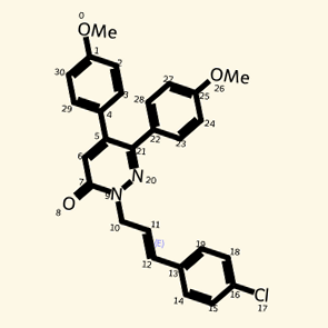 COc1ccc(-c2cc(=O)n(C/C=C/c3ccc(Cl)cc3)nc2-c2ccc(OC)cc2)cc1